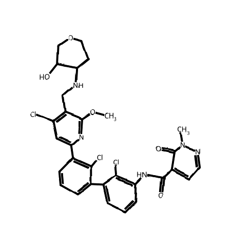 COc1nc(-c2cccc(-c3cccc(NC(=O)c4ccnn(C)c4=O)c3Cl)c2Cl)cc(Cl)c1CNC1CCOCC1O